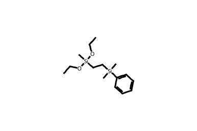 CCO[Si](C)(CC[Si](C)(C)c1ccccc1)OCC